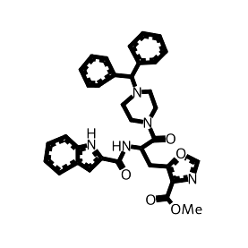 COC(=O)c1ncoc1CC(NC(=O)c1cc2ccccc2[nH]1)C(=O)N1CCN(C(c2ccccc2)c2ccccc2)CC1